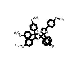 COc1ccc(C2=NC(c3ccc(Cl)cc3)(C3(c4ccc(Cl)cc4)N=C(c4ccc(OC)cc4)C(c4ccc(OC)cc4)(c4ccc(OC)cc4)N3)N=C2)cc1